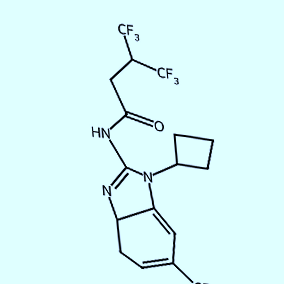 O=C(CC(C(F)(F)F)C(F)(F)F)NC1=NC2CC=C(C(F)(F)F)C=C2N1C1CCC1